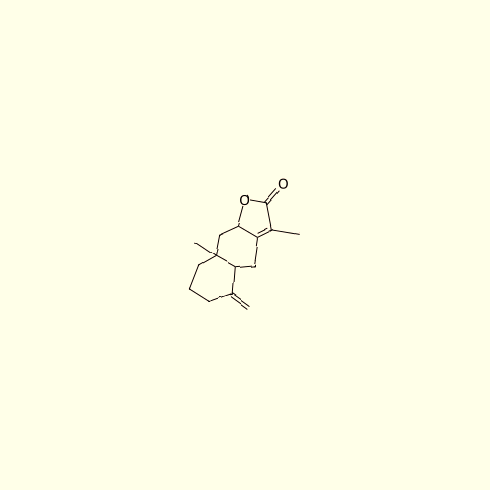 C=C1CCCC2(C)CC3OC(=O)C(C)=C3CC12